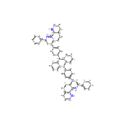 c1ccc(-c2cc(-c3ccc(-c4c5ccccc5c(-c5ccc(-c6cc(-c7ccccc7)nc7c6ccc6cccnc67)cc5)c5ccccc45)cc3)c3ccc4cccnc4c3n2)cc1